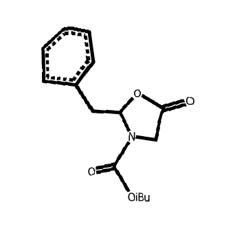 CC(C)COC(=O)N1CC(=O)OC1Cc1ccccc1